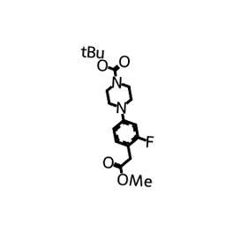 COC(=O)Cc1ccc(N2CCN(C(=O)OC(C)(C)C)CC2)cc1F